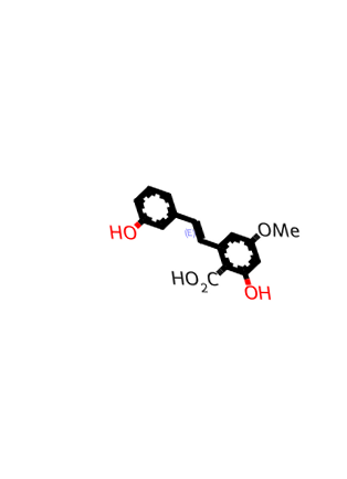 COc1cc(O)c(C(=O)O)c(/C=C/c2cccc(O)c2)c1